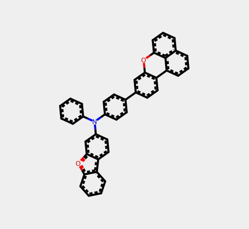 c1ccc(N(c2ccc(-c3ccc4c(c3)Oc3cccc5cccc-4c35)cc2)c2ccc3c(c2)oc2ccccc23)cc1